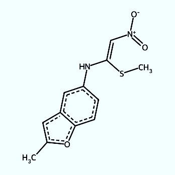 CSC(=C[N+](=O)[O-])Nc1ccc2oc(C)cc2c1